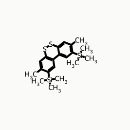 Cc1cc2c(cc1[Si](C)(C)C)-c1cc([Si](C)(C)C)c(C)cc1SS2